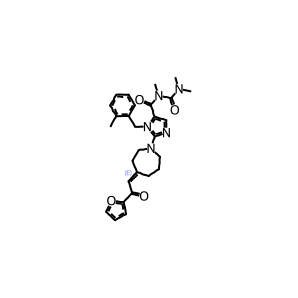 Cc1ccccc1Cn1c(C(=O)N(C)C(=O)N(C)C)cnc1N1CCC/C(=C\C(=O)c2ccco2)CC1